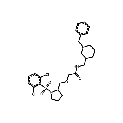 O=C(COCC1CCCN1S(=O)(=O)c1c(Cl)cccc1Cl)NCC1CCCN(Cc2ccccc2)C1